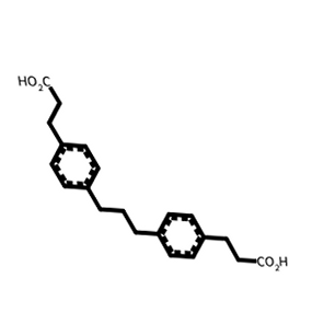 O=C(O)CCc1ccc(CCCc2ccc(CCC(=O)O)cc2)cc1